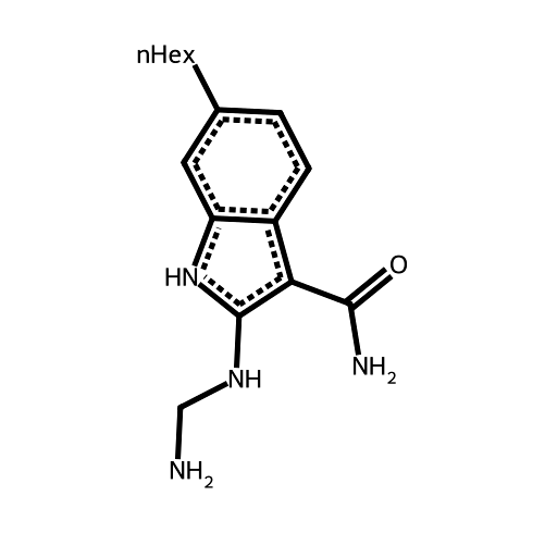 CCCCCCc1ccc2c(C(N)=O)c(NCN)[nH]c2c1